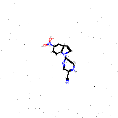 N#Cc1cnc(-n2ccc3cc([N+](=O)[O-])ccc32)cn1